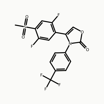 CS(=O)(=O)c1cc(F)c(-c2coc(=O)n2-c2ccc(C(F)(F)F)cc2)cc1F